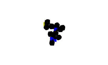 c1ccc(-c2nc(-c3ccccc3)c(-c3ccc(-c4nc5c(-c6ccc(-c7cccc8sc9ccccc9c78)cc6)cccc5c5c4ccc4ccccc45)cc3)c(-c3ccccc3)n2)cc1